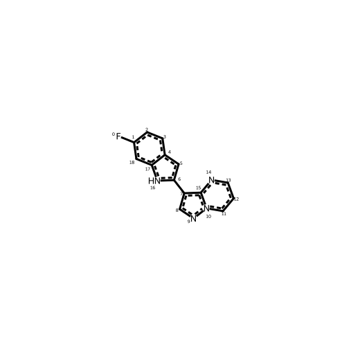 Fc1ccc2cc(-c3cnn4cccnc34)[nH]c2c1